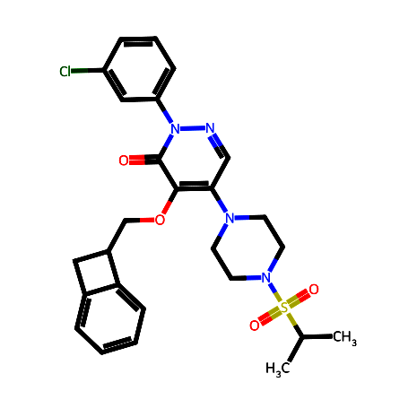 CC(C)S(=O)(=O)N1CCN(c2cnn(-c3cccc(Cl)c3)c(=O)c2OCC2Cc3ccccc32)CC1